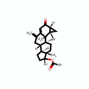 C=C1C[C@@H]2[C@H](CC[C@@]3(C)[C@H]2CC[C@]3(OC(=O)CCC)C(C)=O)[C@]2(C)C1=CC(=O)[C@@H]1C[C@@H]12